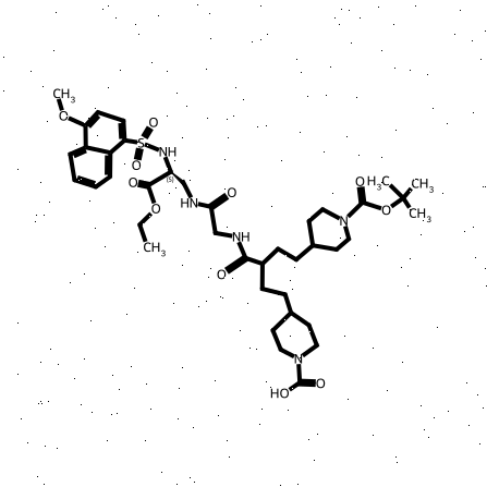 CCOC(=O)[C@H](CNC(=O)CNC(=O)C(CCC1CCN(C(=O)O)CC1)CCC1CCN(C(=O)OC(C)(C)C)CC1)NS(=O)(=O)c1ccc(OC)c2ccccc12